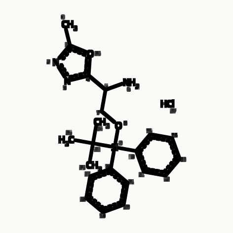 Cc1nnc(C(N)CO[Si](c2ccccc2)(c2ccccc2)C(C)(C)C)o1.Cl